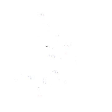 CC(=O)N[C@@H](CC(C)C)C(=O)N[C@@H](C)C(=O)N[C@@H](CC(C)C)C(=O)N[C@@H](Cc1ccc(O)cc1)C(=O)O